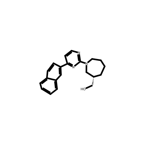 OC[C@H]1CCCCN(c2nccc(-c3ccc4ccccc4c3)n2)C1